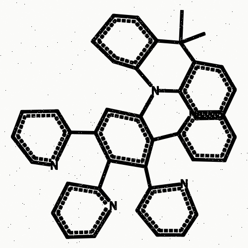 CC1(C)c2ccccc2N(c2cc(-c3ccccn3)c(-c3ccccn3)c(-c3ccccn3)c2-c2ccccn2)c2ccccc21